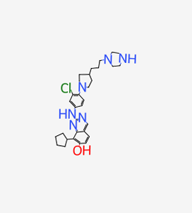 Oc1ccc2cnc(Nc3ccc(N4CCC(CCCN5CCNCC5)CC4)c(Cl)c3)nc2c1C1CCCC1